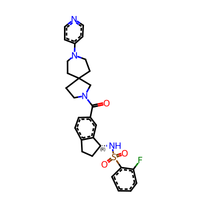 O=C(c1ccc2c(c1)[C@H](NS(=O)(=O)c1ccccc1F)CC2)N1CCC2(CCN(c3ccncc3)CC2)C1